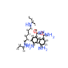 CCC(C)NCCCCCCNC(C)CC.NC(=O)c1ccc(N)cc1.NC(=O)c1ccc(N)cc1